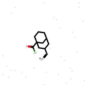 C=CC1CC2CCCC(C(=O)Cl)(C1)C2